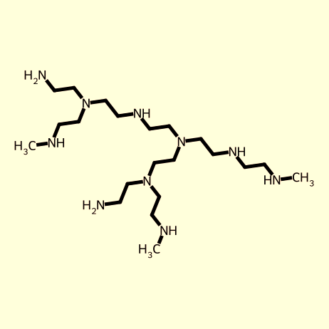 CNCCNCCN(CCNCCN(CCN)CCNC)CCN(CCN)CCNC